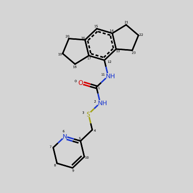 O=C(NSCC1=NCCC=C1)Nc1c2c(cc3c1CCC3)CCC2